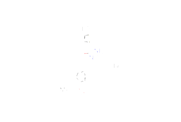 CBc1ccc(C2NC3(CCC(C(C)(C)C)CC3)N(CCc3ccc(C(=O)OC)cc3)C2=O)s1